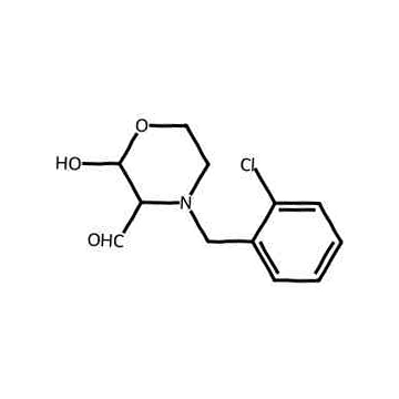 O=CC1C(O)OCCN1Cc1ccccc1Cl